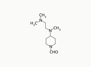 CN(C)CCN(C)C1CCN(C=O)CC1